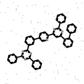 c1ccc(-c2nc(-c3ccc(-c4cccc(-c5nc(-c6ccccc6)nc(-c6ccccc6)n5)c4)cn3)cc(-c3ccccc3-c3ccccc3)n2)cc1